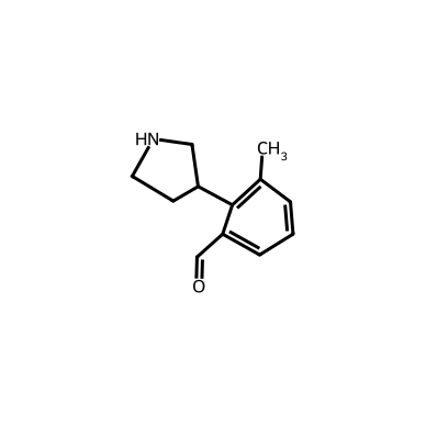 Cc1cccc(C=O)c1C1CCNC1